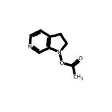 CC(=O)ON1CCc2ccncc21